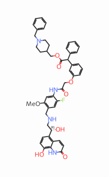 COc1cc(NC(=O)COc2cccc(C(C(=O)OCC3CCN(Cc4ccccc4)CC3)c3ccccc3)c2)c(F)cc1CNC[C@H](O)c1ccc(O)c2[nH]c(=O)ccc12